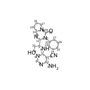 N#Cc1c(N)ncnc1NC(CO)c1nc2cccn2c(=O)n1-c1ccccc1